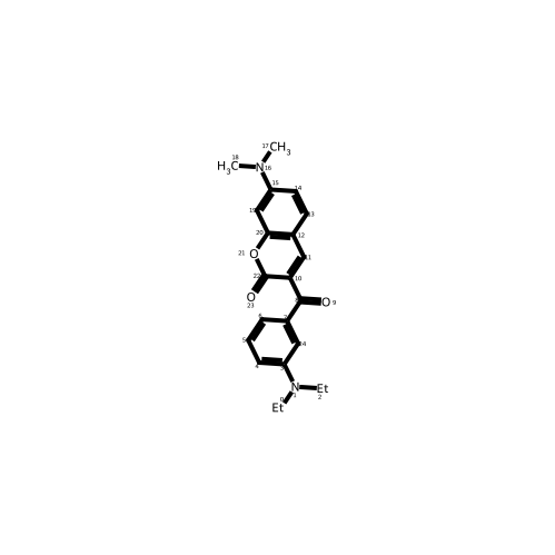 CCN(CC)c1cccc(C(=O)c2cc3ccc(N(C)C)cc3oc2=O)c1